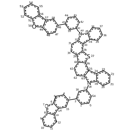 c1cc(-c2ccc3oc4ccccc4c3c2)cc(-n2c3ccccc3c3c4sc5c(ccc6c5c5ccccc5n6-c5cccc(-c6ccc7oc8ccccc8c7c6)c5)c4ccc32)c1